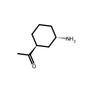 CC(=O)[C@H]1CCC[C@H](N)C1